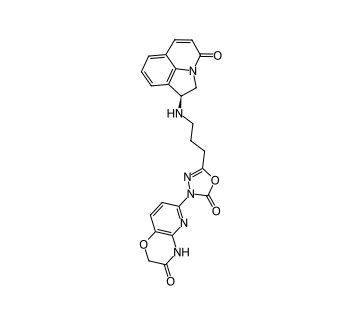 O=C1COc2ccc(-n3nc(CCCN[C@@H]4Cn5c(=O)ccc6cccc4c65)oc3=O)nc2N1